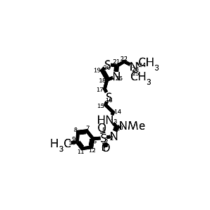 CNC(=NS(=O)(=O)c1ccc(C)cc1)NCCSCc1csc(CN(C)C)n1